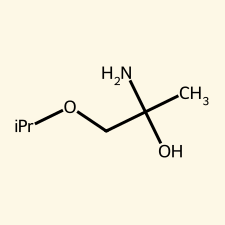 CC(C)OCC(C)(N)O